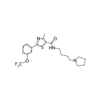 Cc1nc(-c2cccc(OC(F)(F)F)c2)sc1C(=O)NCCCCN1CCCC1